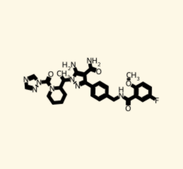 COc1ccc(F)cc1C(=O)NCc1ccc(-c2nn(C(C)C3CCCCN3C(=O)n3cncn3)c(N)c2C(N)=O)cc1